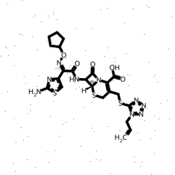 C=CCn1nnnc1SCC1=C(C(=O)O)N2C(=O)C(NC(=O)/C(=N\OC3CCCC3)c3csc(N)n3)[C@H]2SC1